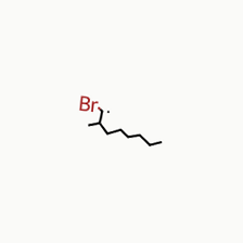 CCCCCCC(C)[CH]Br